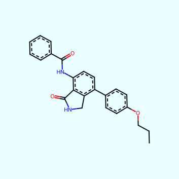 CCCOc1ccc(-c2ccc(NC(=O)c3ccccc3)c3c2CNC3=O)cc1